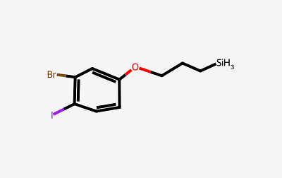 [SiH3]CCCOc1ccc(I)c(Br)c1